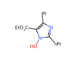 CCCc1nc(C(C)C)c(C(=O)OCC)n1O